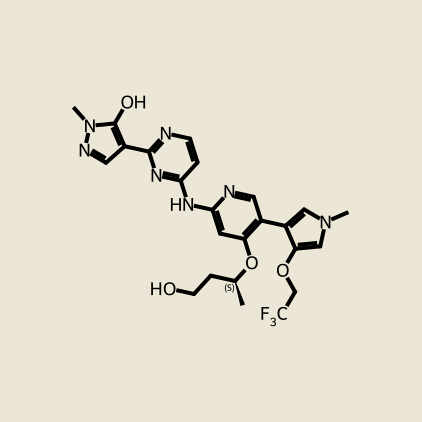 C[C@@H](CCO)Oc1cc(Nc2ccnc(-c3cnn(C)c3O)n2)ncc1-c1cn(C)cc1OCC(F)(F)F